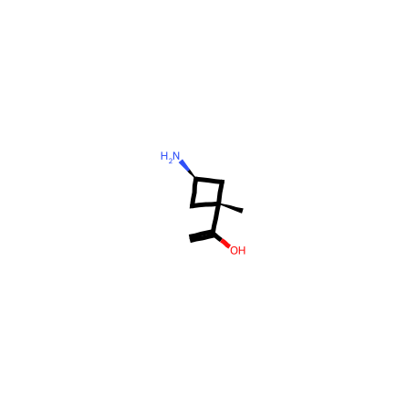 C=C(O)[C@]1(C)C[C@@H](N)C1